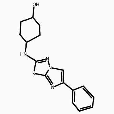 OC1CCC(Nc2nn3cc(-c4ccccc4)nc3s2)CC1